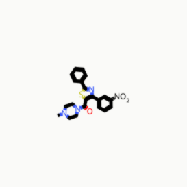 CN1CCN(C(=O)c2sc(-c3ccccc3)nc2-c2cccc([N+](=O)[O-])c2)CC1